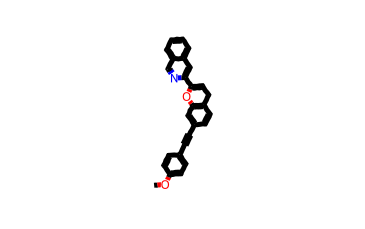 COc1ccc(C#Cc2ccc3c(c2)OC(c2cc4ccccc4cn2)=CC3)cc1